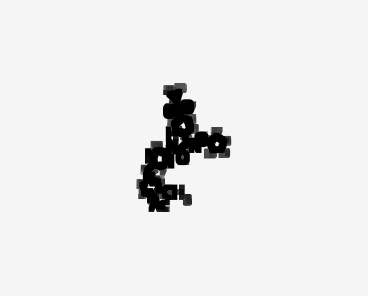 CC(=O)N1CCN(Cc2cnc(NC(=O)/C(=N/OC3CCCC3)c3ccc(S(=O)(=O)C4CC4)cc3)cn2)C[C@@H]1C